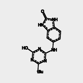 CC(C)(C)c1nc(O)nc(Nc2ccc3[nH]c(=O)[nH]c3c2)n1